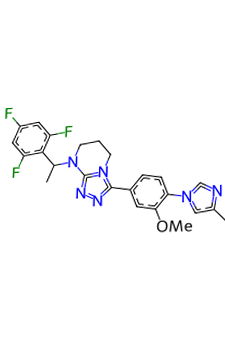 COc1cc(-c2nnc3n2CCCN3C(C)c2c(F)cc(F)cc2F)ccc1-n1cnc(C)c1